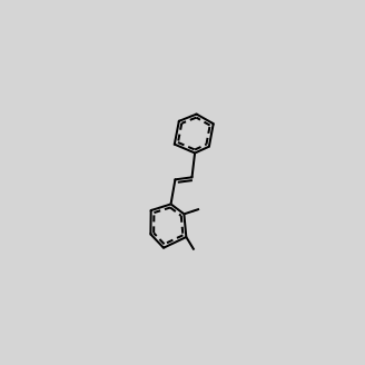 Cc1cccc(C=Cc2ccccc2)c1C